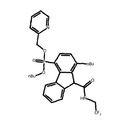 CCCCOP(=O)(OCc1ccccn1)c1ccc(CCCC)c2c1-c1ccccc1C2C(=O)NCC(F)(F)F